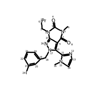 CC(C)Cn1c(=O)n(C)c(=O)c2c(-c3nccn3C)n(Cc3cccc(I)c3)nc21